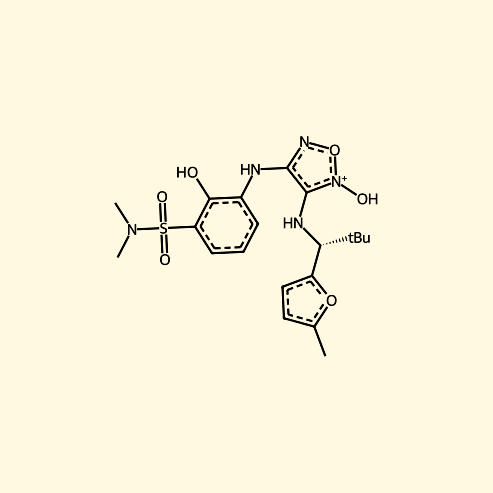 Cc1ccc([C@H](Nc2c(Nc3cccc(S(=O)(=O)N(C)C)c3O)no[n+]2O)C(C)(C)C)o1